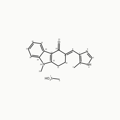 CS(=O)(=O)O.Cc1[nH]cnc1/C=C1\CCc2c(c3ccccc3n2C)C1=O